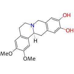 COc1cc2c(cc1OC)[C@@H]1Cc3cc(O)c(O)cc3CN1CC2